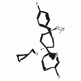 O=C(O)[C@]1(c2ccc(F)cc2)CC[C@](OCC2CC2)(c2ccc(F)cn2)CC1